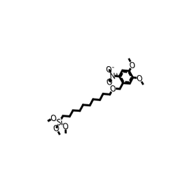 COc1cc(COCCCCCCCCCC[Si](OC)(OC)OC)c([N+](=O)[O-])cc1OC